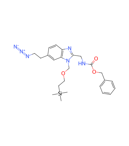 C[Si](C)(C)CCOCn1c(CNC(=O)OCc2ccccc2)nc2ccc(CCN=[N+]=[N-])cc21